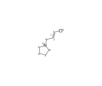 Cl/C=C/CN1CCCC1